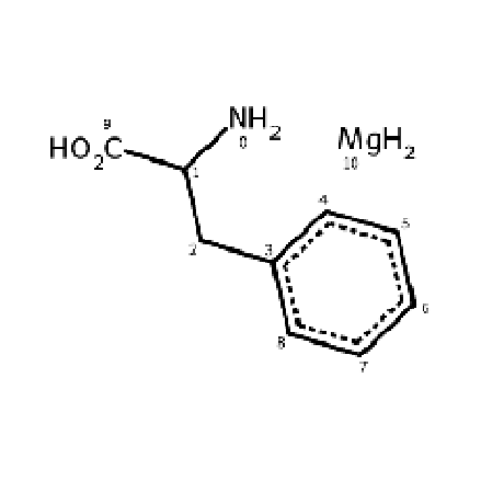 NC(Cc1ccccc1)C(=O)O.[MgH2]